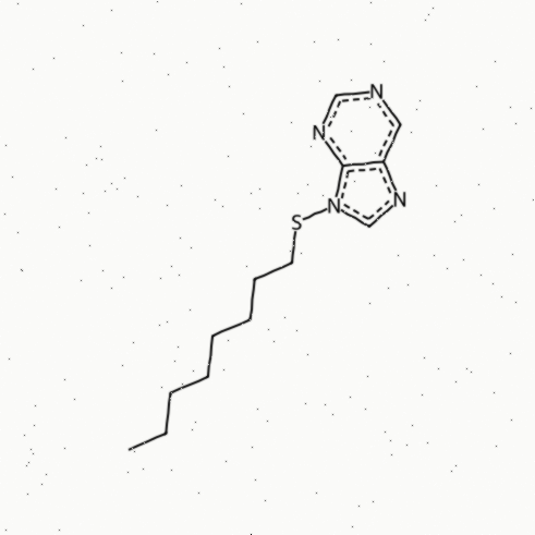 CCCCCCCCSn1cnc2cncnc21